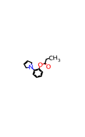 CCC(=O)Oc1ccccc1N1CC=CC1